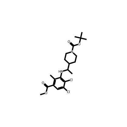 COC(=O)c1cc(Cl)c(Cl)c(NC(C)C2CCN(C(=O)OC(C)(C)C)CC2)c1C